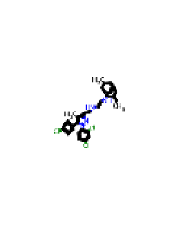 CCC1CC2CC(C)CC(C2)C1NCCNCCc1nn(-c2ccc(Cl)cc2Cl)c(-c2ccc(Cl)cc2)c1C